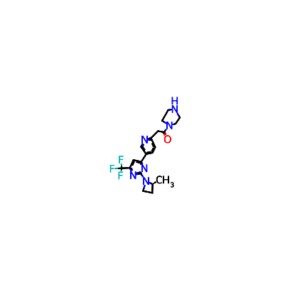 C[C@H]1CCN1c1nc(-c2ccc(CC(=O)N3CCNCC3)nc2)cc(C(F)(F)F)n1